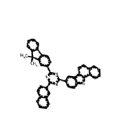 CC1(C)c2ccccc2-c2ccc(-c3nc(-c4ccc5ccccc5c4)nc(-c4ccc5sc6c7ccccc7ccc6c5c4)n3)cc21